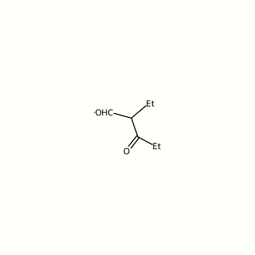 CCC(=O)C([C]=O)CC